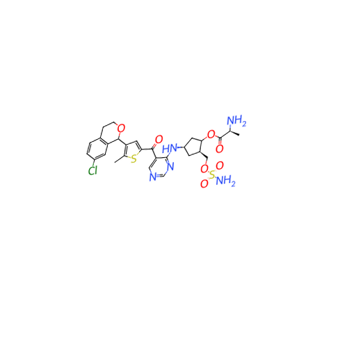 Cc1sc(C(=O)c2cncnc2N[C@H]2CC(OC(=O)[C@H](C)N)[C@@H](COS(N)(=O)=O)C2)cc1C1OCCc2ccc(Cl)cc21